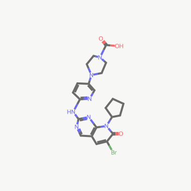 O=C(O)N1CCN(c2ccc(Nc3ncc4cc(Br)c(=O)n(C5CCCC5)c4n3)nc2)CC1